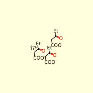 CCC(=O)CC(=O)[O-].CCC(=O)CC(=O)[O-].CCC(=O)CC(=O)[O-].[Ti+3]